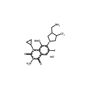 COc1c(N2CC(CN)C(C(F)(F)F)C2)c(F)cc2c(=O)n(N)c(=O)n(C3CC3)c12.Cl